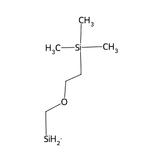 C[Si](C)(C)CCOC[SiH2]